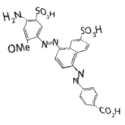 COc1cc(N)c(S(=O)(=O)O)cc1N=Nc1ccc(N=Nc2ccc(C(=O)O)cc2)c2ccc(S(=O)(=O)O)cc12